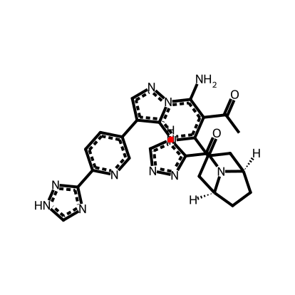 CC(=O)c1c(C2C[C@H]3CC[C@@H](C2)N3C(=O)c2nnc[nH]2)nc2c(-c3ccc(-c4nc[nH]n4)nc3)cnn2c1N